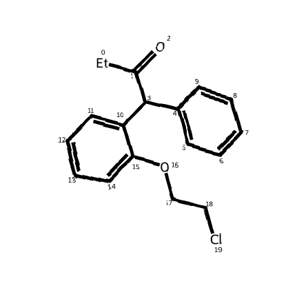 CCC(=O)C(c1ccccc1)c1ccccc1OCCCl